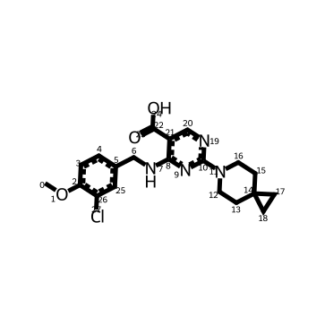 COc1ccc(CNc2nc(N3CCC4(CC3)CC4)ncc2C(=O)O)cc1Cl